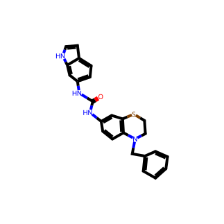 O=C(Nc1ccc2c(c1)SCCN2Cc1ccccc1)Nc1ccc2cc[nH]c2c1